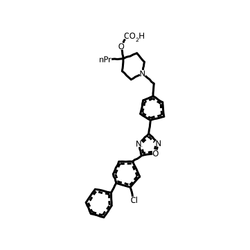 CCCC1(OC(=O)O)CCN(Cc2ccc(-c3noc(-c4ccc(-c5ccccc5)c(Cl)c4)n3)cc2)CC1